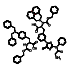 NCC(=O)N(c1ccccc1)c1nn(-c2cccc(C[C@@H](C(=O)O)N(C(=O)OCc3ccccc3)N(Cc3ccccc3)Cc3ccccc3)c2)c(=S)s1.O=C(N[C@@H](Cc1ccc(N(Cc2ccccc2)Cc2ccccc2)cc1)C(=O)O)OCc1ccccc1